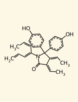 C=C/C=C(\C=C/C)N1C(=O)C(=C/C)/C(=C\C)C1(c1ccc(O)cc1)c1ccc(O)cc1